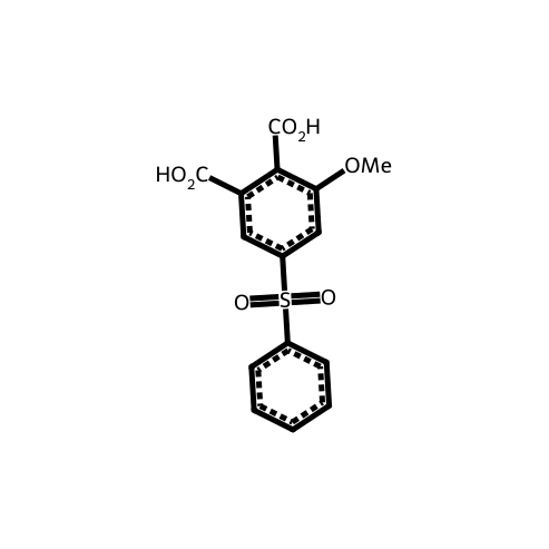 COc1cc(S(=O)(=O)c2ccccc2)cc(C(=O)O)c1C(=O)O